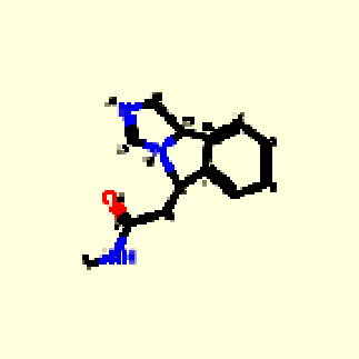 CNC(=O)CC1c2ccccc2C2CN=CN21